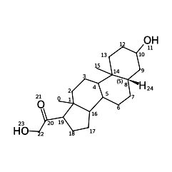 CC12CCC3C(CC[C@H]4CC(O)CCC34C)C1CCC2C(=O)CO